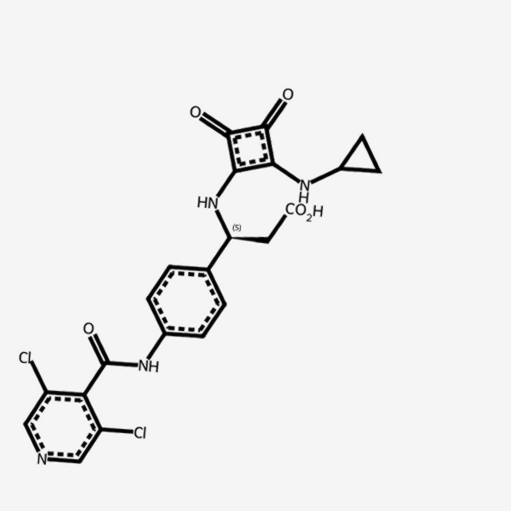 O=C(O)C[C@H](Nc1c(NC2CC2)c(=O)c1=O)c1ccc(NC(=O)c2c(Cl)cncc2Cl)cc1